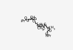 CCCOCCC(=O)N(C)CCN(C)C(=O)CCC(C)(C)SSCCOC(=O)N(C)CCOC(=O)C(C)C